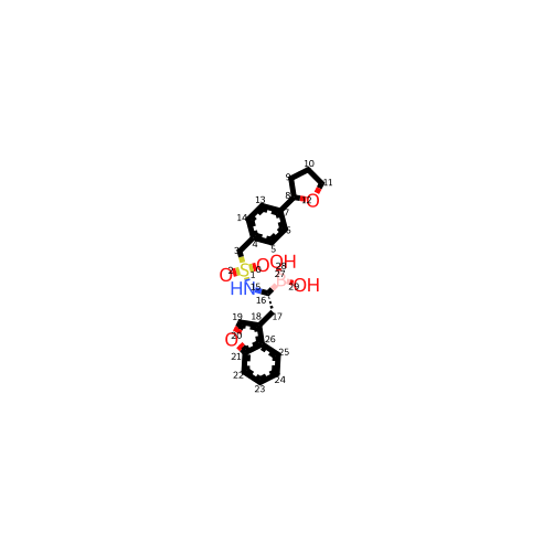 O=S(=O)(Cc1ccc(C2CCCO2)cc1)N[C@@H](Cc1coc2ccccc12)B(O)O